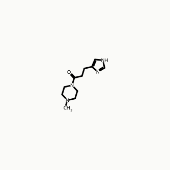 CN1CCN(C(=O)CCc2c[nH]cn2)CC1